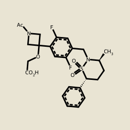 CC(=O)N1CC(OCC(=O)O)(c2cc(F)c(CN3[C@@H](C)CC[C@H](c4ccccc4)S3(=O)=O)cc2F)C1